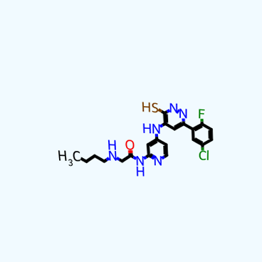 CCCCNCC(=O)Nc1cc(Nc2cc(-c3cc(Cl)ccc3F)nnc2S)ccn1